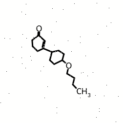 CCCCOC1CCC(C2=CC(=O)CCC2)CC1